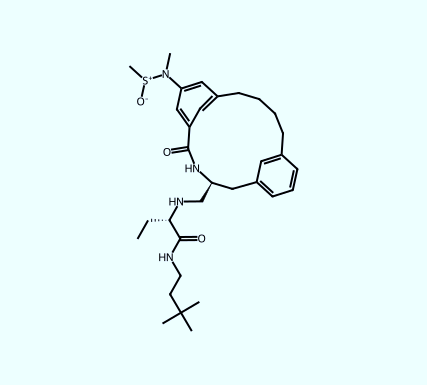 CC[C@H](NC[C@@H]1Cc2cccc(c2)CCCCc2cc(cc(N(C)[S+](C)[O-])c2)C(=O)N1)C(=O)NCCC(C)(C)C